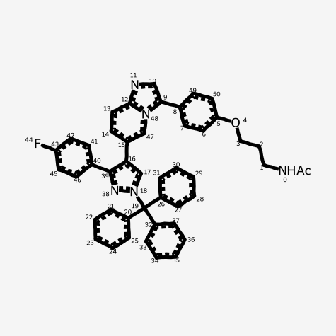 CC(=O)NCCCOc1ccc(-c2cnc3ccc(-c4cn(C(c5ccccc5)(c5ccccc5)c5ccccc5)nc4-c4ccc(F)cc4)cn23)cc1